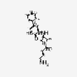 NC/C=C/C(=O)N1CC(Nc2cc(-c3ccncc3)c[nH]c2=O)C1